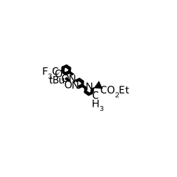 CCOC(=O)[C@H]1C[C@@H]1c1nc(-c2ccc(N(Cc3cccc(OC(F)(F)F)c3)C(=O)OC(C)(C)C)nc2)ccc1C